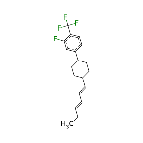 CC/C=C/C=C/C1CCC(c2ccc(C(F)(F)F)c(F)c2)CC1